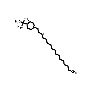 CCCCCCCCCCCCCCNCCN1CCN(C(C)(C)C)CC1